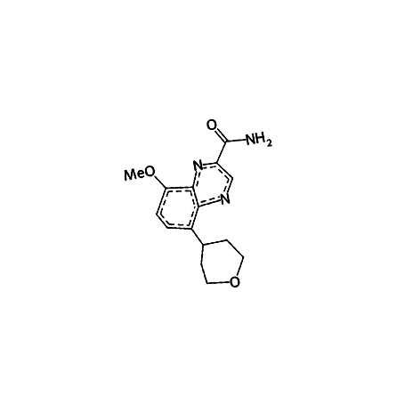 COc1ccc(C2CCOCC2)c2ncc(C(N)=O)nc12